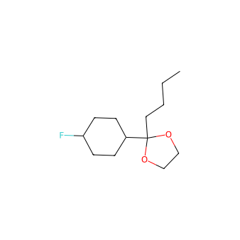 CCCCC1(C2CCC(F)CC2)OCCO1